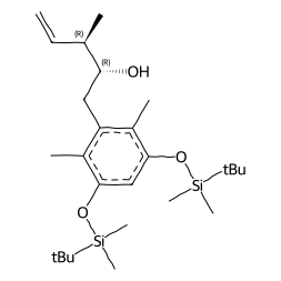 C=C[C@@H](C)[C@H](O)Cc1c(C)c(O[Si](C)(C)C(C)(C)C)cc(O[Si](C)(C)C(C)(C)C)c1C